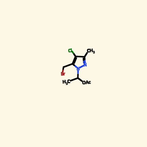 CC(=O)OC(C)n1nc(C)c(Cl)c1CBr